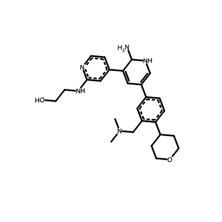 CN(C)Cc1cc(C2=CNC(N)C(c3ccnc(NCCO)c3)=C2)ccc1C1CCOCC1